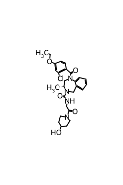 CCOc1ccc(C(=O)N2C[C@@H](C)N(C(=O)NCC(=O)N3CCC(O)CC3)Cc3ccccc32)c(Cl)c1